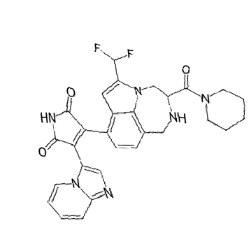 O=C1NC(=O)C(c2cnc3ccccn23)=C1c1ccc2c3c1cc(C(F)F)n3CC(C(=O)N1CCCCC1)NC2